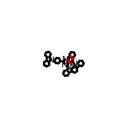 C1=CC2c3ccc4c5ccccc5n(-c5ccccc5)c4c3N(c3nc(-c4ccccc4)nc(-c4ccc(-n5c6ccccc6c6ccccc65)cc4)n3)C2C=C1